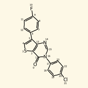 O=c1c2scc(-c3ccc(F)cc3)c2ncn1-c1ccc(Cl)cc1